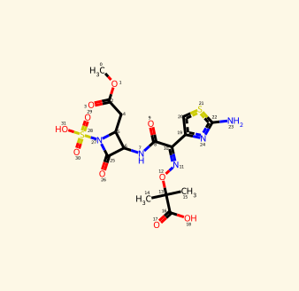 COC(=O)CC1C(NC(=O)C(=NOC(C)(C)C(=O)O)c2csc(N)n2)C(=O)N1S(=O)(=O)O